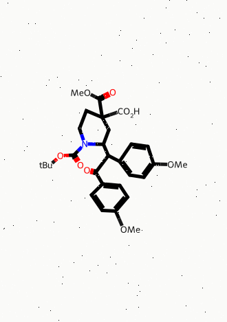 COC(=O)C1(C(=O)O)CCN(C(=O)OC(C)(C)C)C(C(C(=O)c2ccc(OC)cc2)c2ccc(OC)cc2)C1